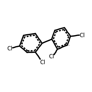 Clc1[c]c(Cl)c(-c2ccc(Cl)cc2Cl)cc1